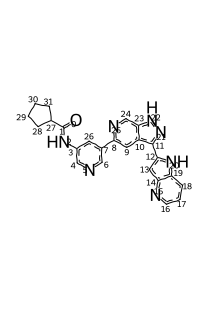 O=C(Nc1cncc(-c2cc3c(-c4cc5ncccc5[nH]4)n[nH]c3cn2)c1)C1CCCC1